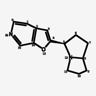 c1cc2cc([C@H]3CCC4CCCN43)oc2cn1